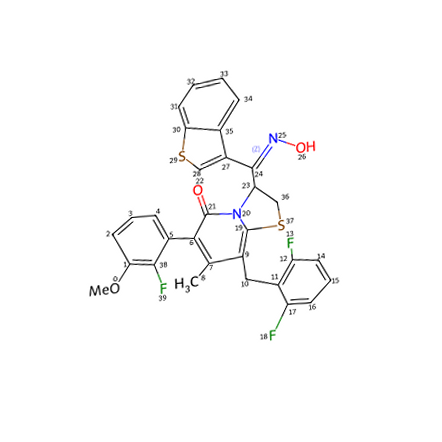 COc1cccc(-c2c(C)c(Cc3c(F)cccc3F)c3n(c2=O)C(/C(=N\O)c2csc4ccccc24)CS3)c1F